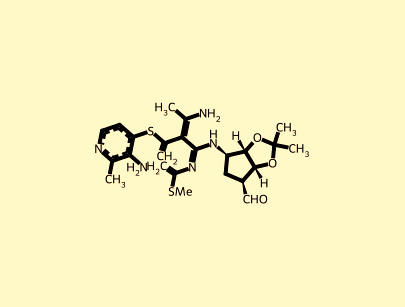 C=C(/N=C(N[C@@H]1C[C@H](C=O)[C@H]2OC(C)(C)O[C@H]21)\C(C(=C)Sc1ccnc(C)c1N)=C(\C)N)SC